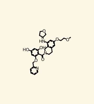 COCCOc1cc2c(c(N[C@@H]3CCOC3)c1)CN(C(=O)c1c(O)cc(O)cc1OCc1ccccn1)CC2